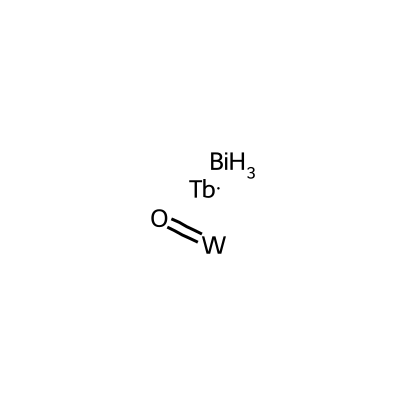 [BiH3].[O]=[W].[Tb]